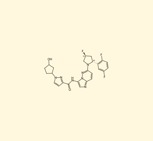 O=C(Nc1cnc2ccc(N3C[C@@H](F)C[C@@H]3c3cc(F)ccc3F)nn12)c1ccn(C2CCC(O)C2)n1